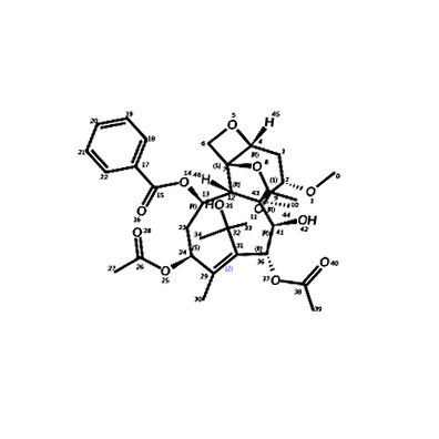 CO[C@H]1C[C@H]2OC[C@@]2(OC(C)=O)[C@H]2[C@H](OC(=O)c3ccccc3)C[C@H](OC(C)=O)/C(C)=C(\C(C)(C)O)[C@@H](OC(C)=O)[C@H](O)[C@]12C